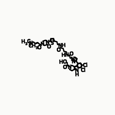 CN(C)C/C=C/C(=O)N1CCN(c2ccc(CCNC(=O)CCCNC(=O)Cn3ccc(-c4cc(Cl)c(Cl)c5[nH]c6c(c45)CN(C(=O)CO)CC6)n3)s2)C(=O)C1